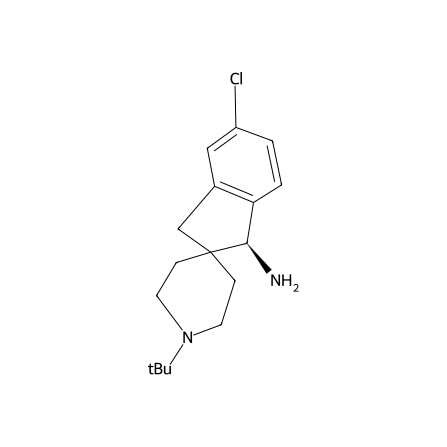 CC(C)(C)N1CCC2(CC1)Cc1cc(Cl)ccc1[C@H]2N